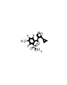 Cc1c(F)c(F)c(C(=O)c2cnoc2C2CC2)c(S(C)(=O)=O)c1F